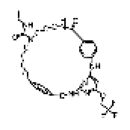 CCNC(=O)N1CCCNC(=O)c2ccc(cc2)Nc2nc(nc(OCC(F)(F)F)n2)NCc2ccc(cc2)OCCC1